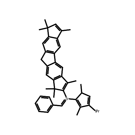 CC1=CC(C)(C)c2cc3c(cc21)-c1cc2c(cc1C3)C(C)(C)[C]([Zr](=[CH]c1ccccc1)[C]1=C(C)C(C(C)C)=CC1C)=C2C